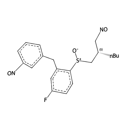 CCCC[C@@H](CN=O)C[S+]([O-])c1ccc(F)cc1Cc1cccc(N=O)c1